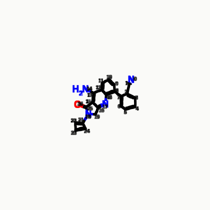 N#Cc1ccccc1-c1cccc2c(N)c3c(nc12)CN(C1=CC=C1)C3=O